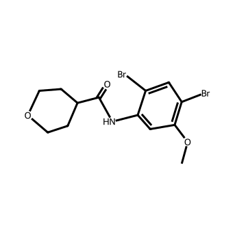 COc1cc(NC(=O)C2CCOCC2)c(Br)cc1Br